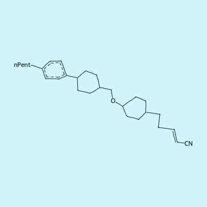 CCCCCc1ccc(C2CCC(COC3CCC(CCC=CC#N)CC3)CC2)cc1